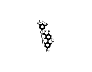 CCc1cc(F)c(-c2c([O])cc(F)c(C(F)(F)Oc3cc(F)c(C(F)(F)F)c(F)c3)c2F)c(F)c1